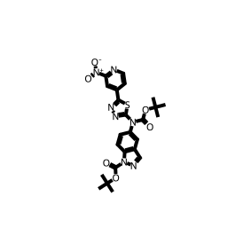 CC(C)(C)OC(=O)N(c1ccc2c(cnn2C(=O)OC(C)(C)C)c1)c1nnc(-c2ccnc([N+](=O)[O-])c2)s1